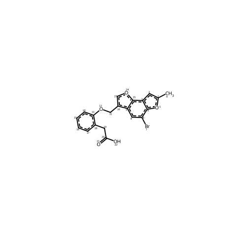 Cc1cc2c(o1)c(Br)cc1c(COc3ccccc3CC(=O)O)coc12